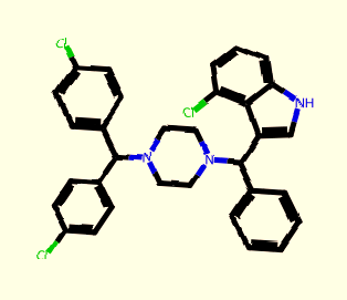 Clc1ccc(C(c2ccc(Cl)cc2)N2CCN(C(c3ccccc3)c3c[nH]c4cccc(Cl)c34)CC2)cc1